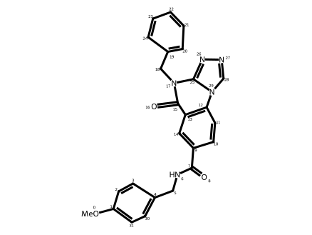 COc1ccc(CNC(=O)c2ccc3c(c2)c(=O)n(Cc2ccccc2)c2nncn32)cc1